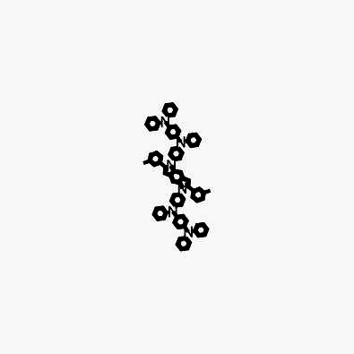 Cc1cccc(-c2cc3cc4c(cc(-c5cccc(C)c5)n4-c4ccc(N(c5ccccc5)c5ccc(N(c6ccccc6)c6ccccc6)cc5)cc4)cc3n2-c2ccc(N(c3ccccc3)c3ccc(N(c4ccccc4)c4ccccc4)cc3)cc2)c1